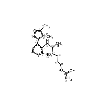 Cc1nnc(-c2cccc([N+](=O)[O-])c2NC(C)CCCCOC(N)=O)n1C